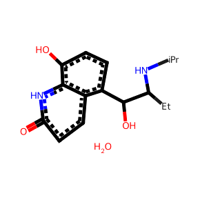 CCC(NC(C)C)C(O)c1ccc(O)c2[nH]c(=O)ccc12.O